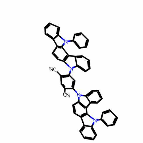 N#Cc1cc(C#N)c(-n2c3ccccc3c3c2ccc2c4ccccc4n(-c4ccccc4)c23)cc1-n1c2ccccc2c2c1ccc1c3ccccc3n(-c3ccccc3)c12